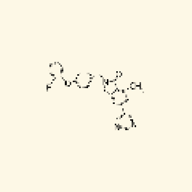 Cc1cc(-c2cncnc2)cc2c1C(=O)N(Cc1ccc(Oc3ccccc3F)cc1)C2